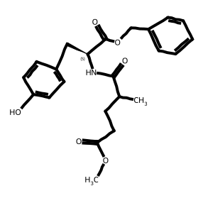 COC(=O)CCC(C)C(=O)N[C@@H](Cc1ccc(O)cc1)C(=O)OCc1ccccc1